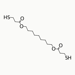 O=C(CCS)OCCCCCCCCCOC(=O)CCS